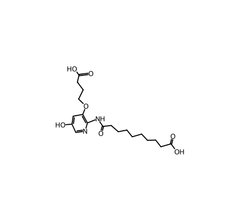 O=C(O)CCCCCCCCC(=O)Nc1ncc(O)cc1OCCCC(=O)O